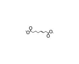 COC(=O)C/C=C/CCCC(=O)OC